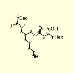 CCCCCCCCCCC(=O)OCC(CCCCO)COC(=O)CC(CCCCCC)CCCCCCCC